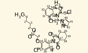 CCCCCOC(=O)COc1cc(N2C(=O)C3=C(CCCC3)C2=O)c(F)cc1Cl.Cc1cccc(C)c1N(Cn1cccn1)C(=O)CCl